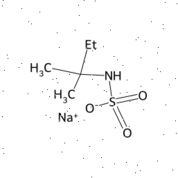 CCC(C)(C)NS(=O)(=O)[O-].[Na+]